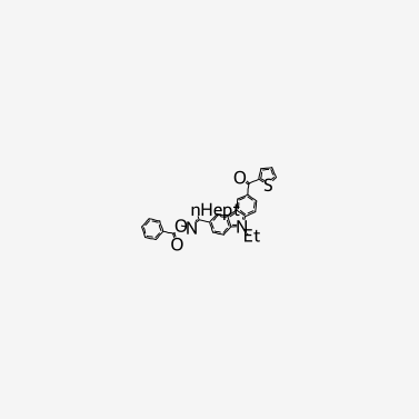 CCCCCCC/C(=N\OC(=O)c1ccccc1)c1ccc2c(c1)c1cc(C(=O)c3cccs3)ccc1n2CC